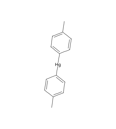 Cc1cc[c]([Hg][c]2ccc(C)cc2)cc1